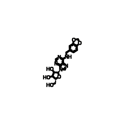 OC[C@H]1O[C@@H](n2cnc3c(NCc4ccc5c(c4)OCO5)ncnc32)C(O)C1O